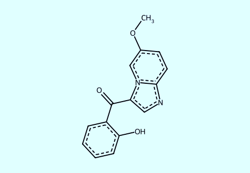 COc1ccc2ncc(C(=O)c3ccccc3O)n2c1